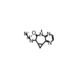 CN1C(=O)C(N=[N+]=[N-])C2CC2c2nccnc21